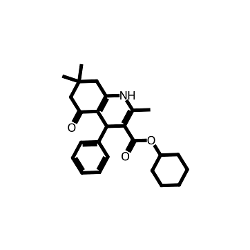 CC1=C(C(=O)OC2CCCCC2)C(c2ccccc2)C2=C(CC(C)(C)CC2=O)N1